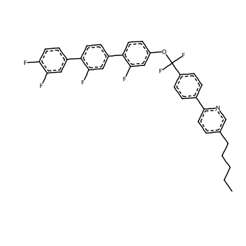 CCCCCc1ccc(-c2ccc(C(F)(F)Oc3ccc(-c4ccc(-c5ccc(F)c(F)c5)c(F)c4)c(F)c3)cc2)nc1